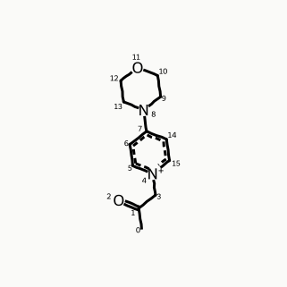 CC(=O)C[n+]1ccc(N2CCOCC2)cc1